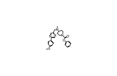 CSc1ccc(-c2cnc(CN(C)C3CCN(C(=O)Oc4ccccc4)CC3)cn2)cc1